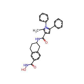 Cc1c(C(=O)NC2CCc3cc(C(=O)NO)ccc3C2)cc(-c2ccccc2)n1-c1ccccc1